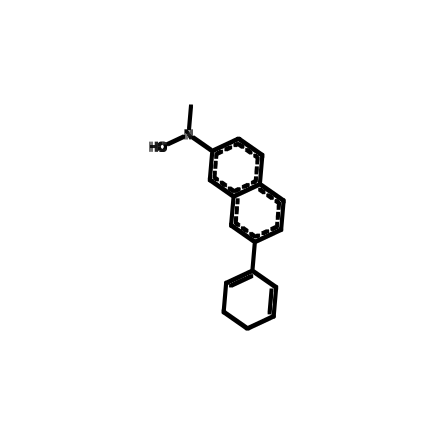 CN(O)c1ccc2ccc(C3=CCCC=C3)cc2c1